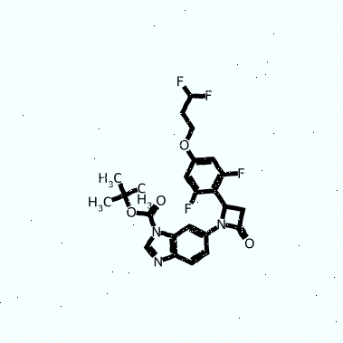 CC(C)(C)OC(=O)n1cnc2ccc(N3C(=O)CC3c3c(F)cc(OCCC(F)F)cc3F)cc21